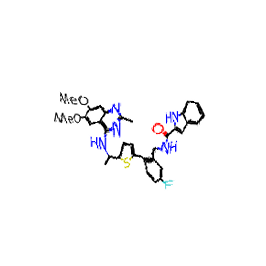 COc1cc2nc(C)nc(NC(C)c3ccc(-c4ccc(F)cc4CNC(=O)c4cc5ccccc5[nH]4)s3)c2cc1OC